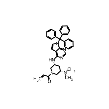 C=CC(=O)N1C[C@H](Nc2ncnc3c2ccn3C(c2ccccc2)(c2ccccc2)c2ccccc2)C[C@H](N(C)C)C1